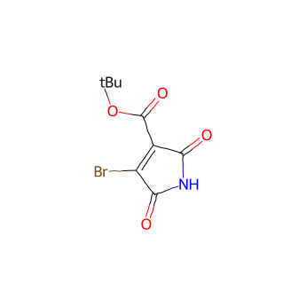 CC(C)(C)OC(=O)C1=C(Br)C(=O)NC1=O